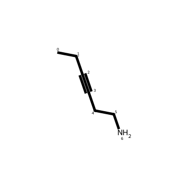 C[CH]C#CCCN